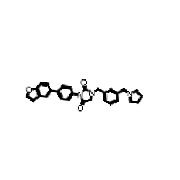 O=C1CN(Cc2cccc(CN3CCCC3)c2)C(=O)N1c1ccc(-c2ccc3c(c2)CCO3)cc1